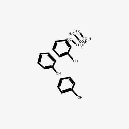 CC(=O)O.CC(=O)O.CC(=O)O.Oc1cc[c]cc1.Oc1cc[c]cc1.Oc1cc[c]cc1